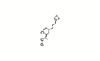 C=C/C(=C\C(Cl)=C(/C)OC1CC1)CCCN1CCC1